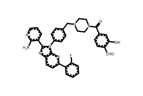 Nc1ncccc1-c1nc2ccc(-c3ccccc3F)nc2n1-c1ccc(CN2CCN(C(=O)c3ccc(C=O)c(O)c3)CC2)cc1